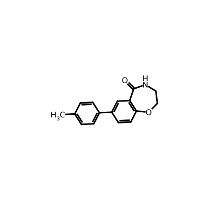 Cc1ccc(-c2ccc3c(c2)C(=O)NCCO3)cc1